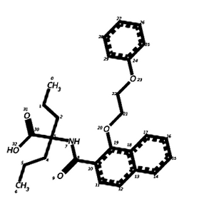 CCCC(CCC)(NC(=O)c1ccc2ccccc2c1OCCOc1ccccc1)C(=O)O